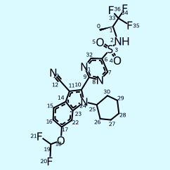 C[C@H](NS(=O)(=O)c1cnc(-c2c(C#N)c3ccc(OC(F)F)cc3n2C2CCCCC2)nc1)C(F)(F)F